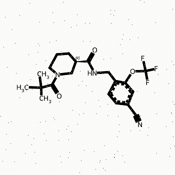 CC(C)(C)C(=O)N1CCC[C@@H](C(=O)NCc2ccc(C#N)cc2OC(F)(F)F)C1